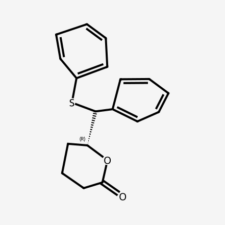 O=C1CCC[C@H](C(Sc2ccccc2)c2ccccc2)O1